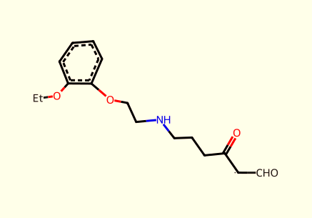 CCOc1ccccc1OCCNCCCC(=O)[CH]C=O